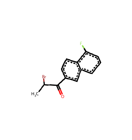 CC(Br)C(=O)c1ccc2c(F)cccc2c1